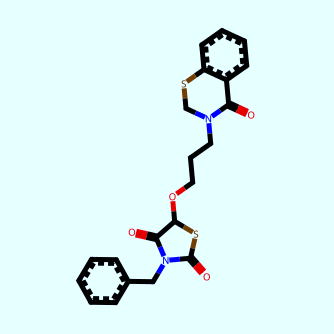 O=C1c2ccccc2SCN1CCCOC1SC(=O)N(Cc2ccccc2)C1=O